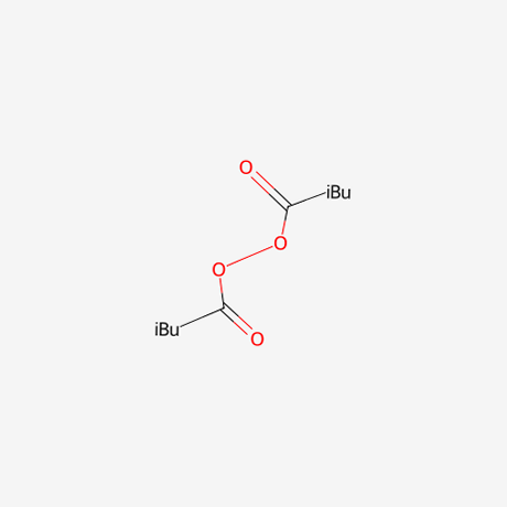 CCC(C)C(=O)OOC(=O)C(C)CC